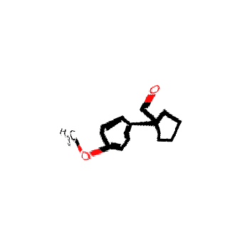 COc1ccc(C2(C=O)CCCC2)cc1